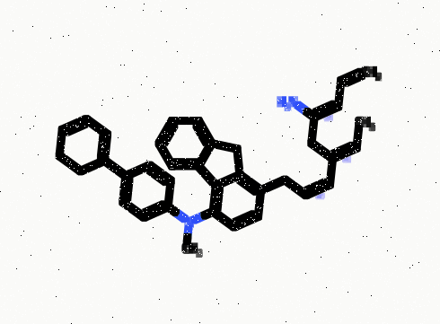 C=C/C=C(\N)CC(/C=C\Cc1ccc(N(C)c2ccc(C3=CC=CCC3)cc2)c2c1Cc1ccccc1-2)=C\C